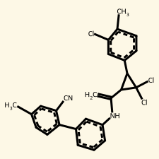 C=C(Nc1cccc(-c2ccc(C)cc2C#N)c1)C1C(c2ccc(C)c(Cl)c2)C1(Cl)Cl